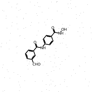 O=Cc1cccc(C(=O)Nc2ccc(C(=O)NO)cc2)c1